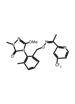 COc1nn(C)c(=O)n1-c1c(C)cccc1CON=C(C)c1cc(C(F)(F)F)ccn1